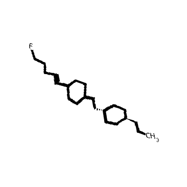 CCC[C@H]1CC[C@H](CCC2CCC(/C=C/CCCF)CC2)CC1